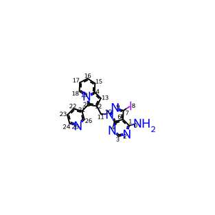 Nc1ncnc2c1c(I)nn2Cc1cc2ccccn2c1-c1cccnc1